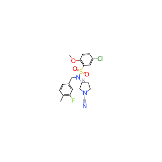 COc1ccc(Cl)cc1S(=O)(=O)N(Cc1ccc(C)c(F)c1)[C@@H]1CCN(C#N)C1